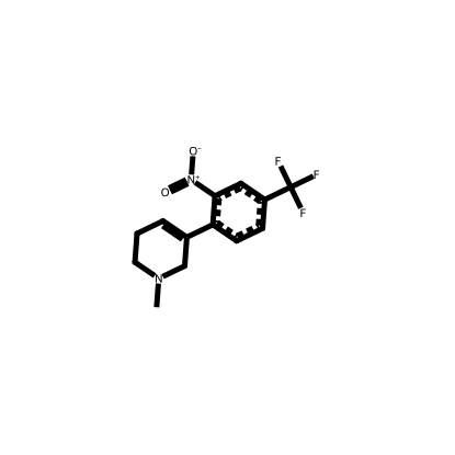 CN1CCC=C(c2ccc(C(F)(F)F)cc2[N+](=O)[O-])C1